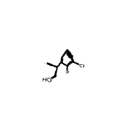 [CH2]C(CO)c1cccc(Cl)c1Br